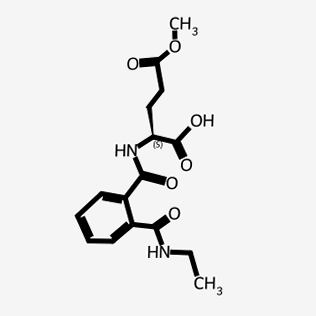 CCNC(=O)c1ccccc1C(=O)N[C@@H](CCC(=O)OC)C(=O)O